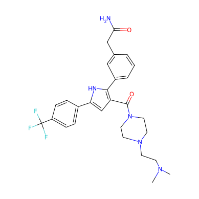 CN(C)CCN1CCN(C(=O)c2cc(-c3ccc(C(F)(F)F)cc3)[nH]c2-c2cccc(CC(N)=O)c2)CC1